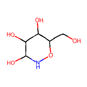 OCC1ONC(O)C(O)C1O